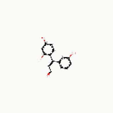 O=C/C=C(\c1cccc(O)c1)c1ccc(O)cc1O